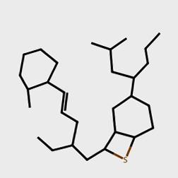 CCCC(CC(C)C)C1CCC2SC(CC(CC)CC=CC3CCCCC3C)C2C1